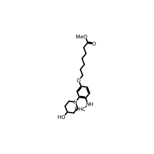 COC(=O)CCCCCCOc1ccc(NC=O)c(N2CCC(O)CC2)c1